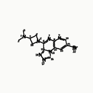 CN(C)C1CN(c2nc3ncc(Br)cc3n3cnnc23)C1